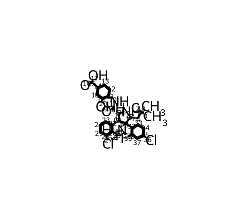 CC(C)(C)C[C@@H]1N[C@@H](C(=O)Nc2ccc(C(=O)O)cc2O)[C@H](c2cccc(Cl)c2F)[C@@]1(N)c1ccc(Cl)cc1F